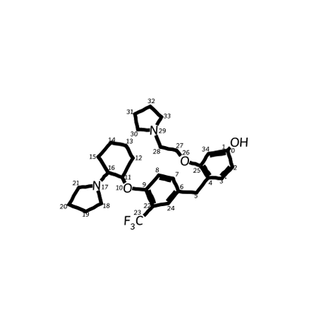 Oc1c[c]c(Cc2ccc(OC3CCCCC3N3CCCC3)c(C(F)(F)F)c2)c(OCCN2CCCC2)c1